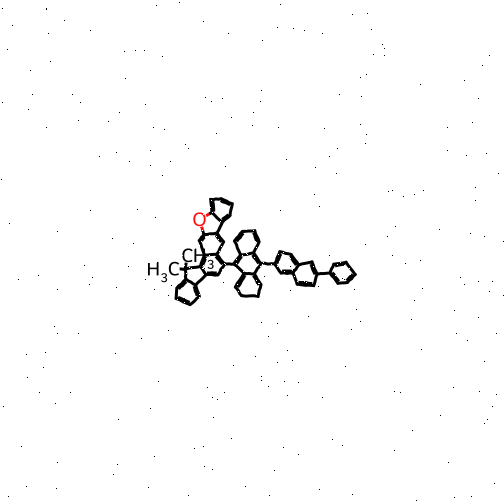 CC1(C)c2ccccc2-c2cc(-c3c4c(c(-c5ccc6cc(-c7ccccc7)ccc6c5)c5ccccc35)=CCCC=4)c3cc4c(cc3c21)oc1ccccc14